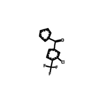 O=C(c1ccccc1)c1ccc(C(F)(F)F)c(Cl)c1